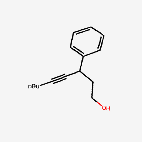 CCCCC#CC(CCO)c1ccccc1